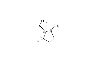 CC[C@@H]1[C@@H](F)CCN1C